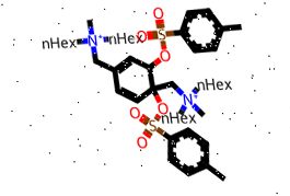 CCCCCC[N+](C)(CCCCCC)CC1=CC(OS(=O)(=O)c2ccc(C)cc2)C(C[N+](C)(CCCCCC)CCCCCC)(OS(=O)(=O)c2ccc(C)cc2)C=C1